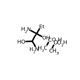 CC(=O)O.CC(=O)O.CCC(N)(O)C(N)O